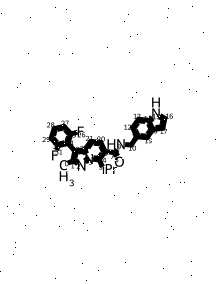 Cc1nn2c(C(C)C)c(C(=O)NCc3ccc4[nH]ccc4c3)ccc2c1-c1c(F)cccc1F